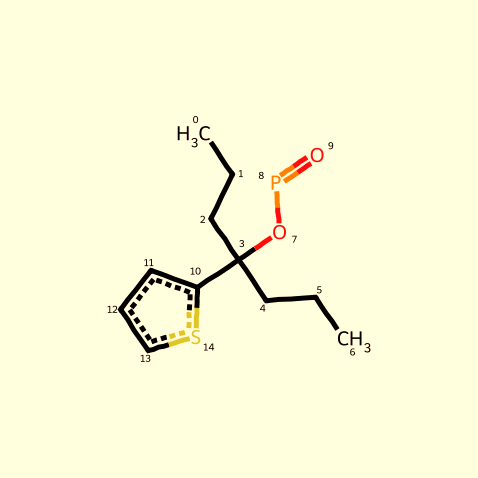 CCCC(CCC)(OP=O)c1cccs1